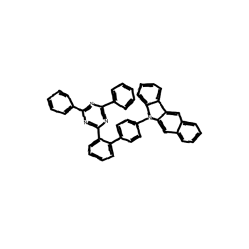 c1ccc(-c2nc(-c3ccccc3)nc(-c3ccccc3-c3ccc(-n4c5ccccc5c5cc6ccccc6cc54)cc3)n2)cc1